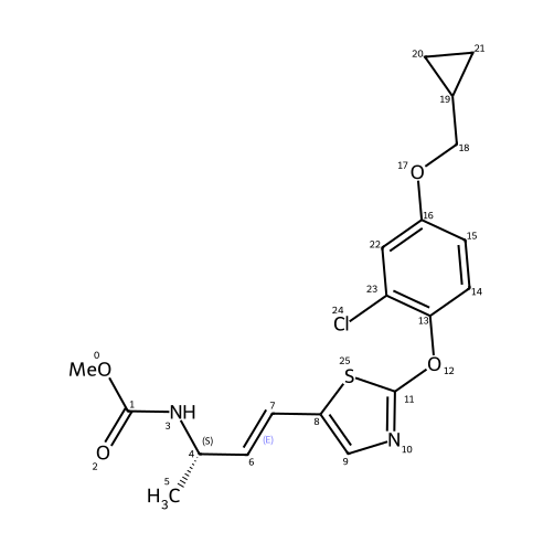 COC(=O)N[C@@H](C)/C=C/c1cnc(Oc2ccc(OCC3CC3)cc2Cl)s1